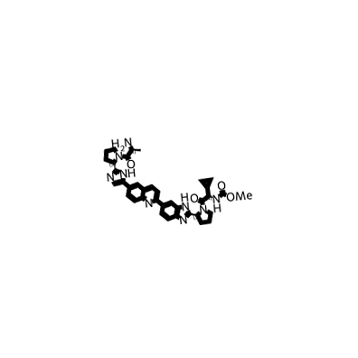 COC(=O)N[C@H](C(=O)N1CCC[C@H]1c1nc2ccc(-c3ccc4cc(-c5cnc([C@@H]6CCCN6C(=O)[C@H](C)N)[nH]5)ccc4n3)cc2[nH]1)C1CC1